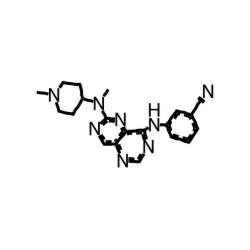 CN1CCC(N(C)c2ncc3ncnc(Nc4cccc(C#N)c4)c3n2)CC1